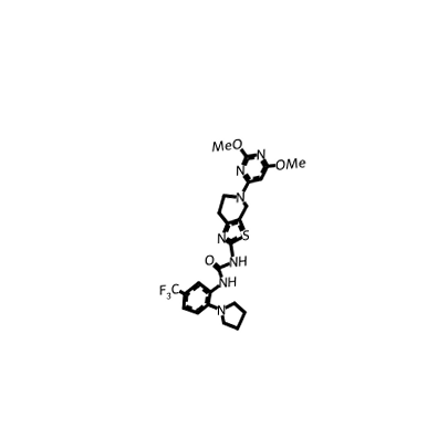 COc1cc(N2CCc3nc(NC(=O)Nc4cc(C(F)(F)F)ccc4N4CCCC4)sc3C2)nc(OC)n1